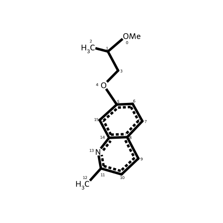 COC(C)COc1ccc2ccc(C)nc2c1